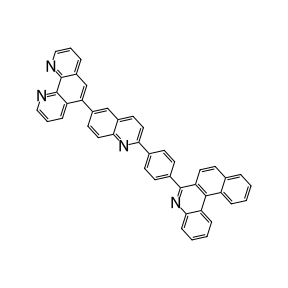 c1ccc2c(c1)ccc1c(-c3ccc(-c4ccc5cc(-c6cc7cccnc7c7ncccc67)ccc5n4)cc3)nc3ccccc3c12